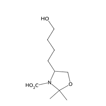 CC1(C)OCC(CCCCO)N1C(=O)O